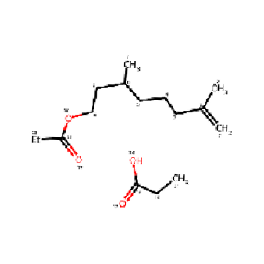 C=C(C)CCCC(C)CCOC(=O)CC.CCC(=O)O